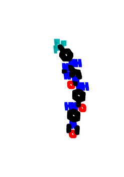 O=C(Nc1ccc(N2CCOCC2)cc1)c1ccc(NC(=O)n2ccc3c(Nc4ccc(C(F)(F)F)cc4)ncnc32)cc1